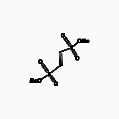 COS(=O)(=O)C=CS(=O)(=O)OC